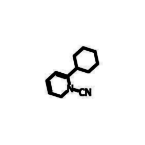 N#CN1CC=CC=C1C1CCCCC1